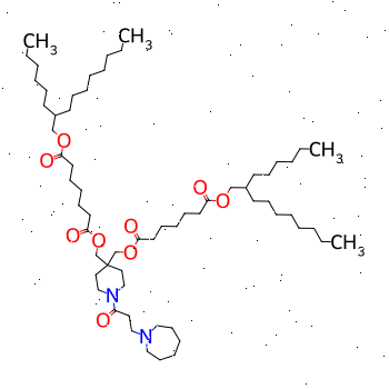 CCCCCCCCC(CCCCCC)COC(=O)CCCCCC(=O)OCC1(COC(=O)CCCCCC(=O)OCC(CCCCCC)CCCCCCCC)CCN(C(=O)CCN2CCCCCC2)CC1